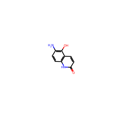 Nc1ccc2[nH]c(=O)ccc2c1O